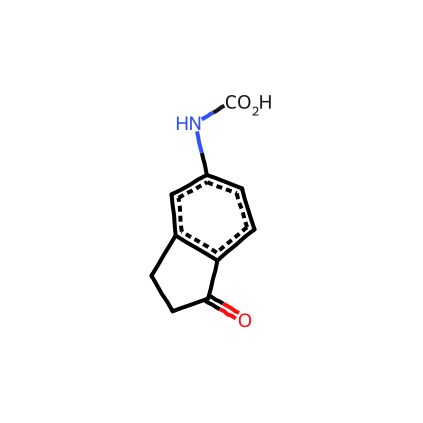 O=C(O)Nc1ccc2c(c1)CCC2=O